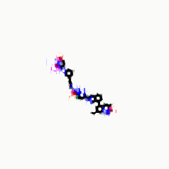 CCc1cc(-c2cccc3cc(-c4cnc(C(=O)NCC#Cc5cccc(NC6CCC(=O)NC6=O)c5)c(Cl)c4)ncc23)c2cc(C)c(=O)n(C)c2c1